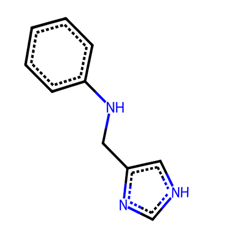 c1ccc(NCc2c[nH]cn2)cc1